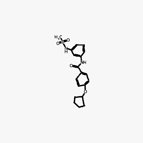 CS(=O)(=O)Nc1cccc(NC(=O)c2ccc(OC3CCCC3)cc2)c1